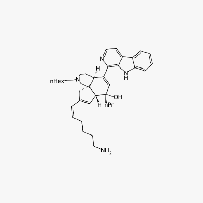 CCCCCCN1CC[C@H]2C(c3nccc4c3[nH]c3ccccc34)=C[C@@](O)(CCC)[C@@H]3C=C(/C=C\CCCCN)C[C@@]32C1